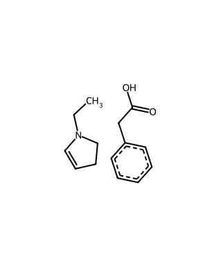 CCN1C=CCC1.O=C(O)Cc1ccccc1